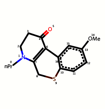 CCCN1CCC(=O)C2=C1CSc1ccc(OC)cc12